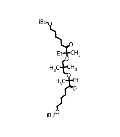 CCC(C)OCCCCCC(=O)C(C)(CC)OCC(C)(C)COC(C)(CC)C(=O)CCCCCOC(C)CC